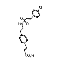 O=C(O)/C=C/c1ccc(CCNS(=O)(=O)C=Cc2ccc(Cl)cc2)cc1